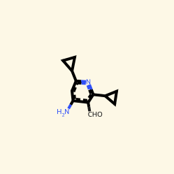 Nc1cc(C2CC2)nc(C2CC2)c1C=O